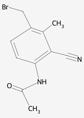 CC(=O)Nc1ccc(CBr)c(C)c1C#N